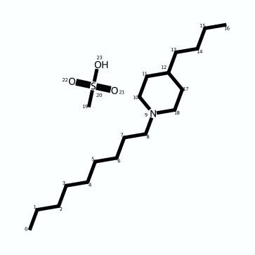 CCCCCCCCCN1CCC(CCCC)CC1.CS(=O)(=O)O